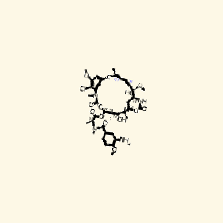 COc1ccc(C(=O)N(C)[C@@H](C)C(=O)O[C@H]2CC(=O)N(C)c3cc(cc(OC)c3Cl)C/C(C)=C/C=C/[C@@H](OC)[C@@]3(O)C[C@H](OC(=O)N3)[C@@H](C)[C@H](O)[C@@H]2C)cc1N